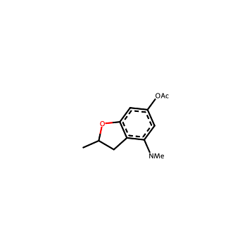 CNc1cc(OC(C)=O)cc2c1CC(C)O2